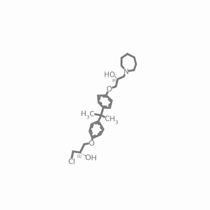 CC(C)(c1ccc(OC[C@H](O)CCl)cc1)c1ccc(OC[C@H](O)CN2CCCCCC2)cc1